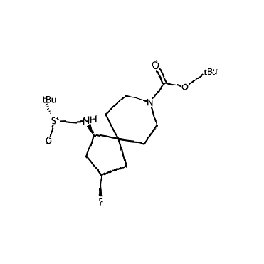 CC(C)(C)OC(=O)N1CCC2(CC1)C[C@@H](F)C[C@H]2N[S@+]([O-])C(C)(C)C